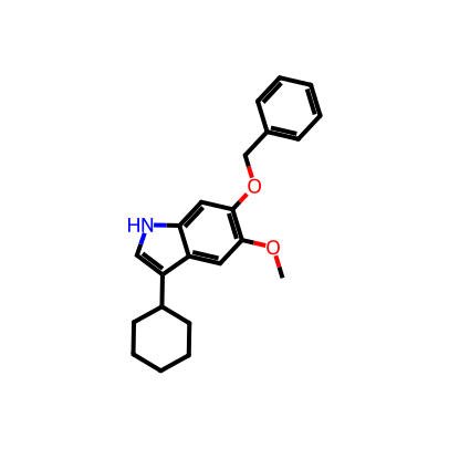 COc1cc2c(C3CCCCC3)c[nH]c2cc1OCc1ccccc1